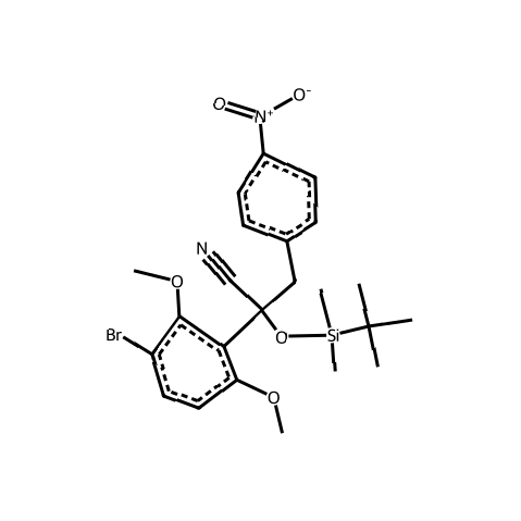 COc1ccc(Br)c(OC)c1C(C#N)(Cc1ccc([N+](=O)[O-])cc1)O[Si](C)(C)C(C)(C)C